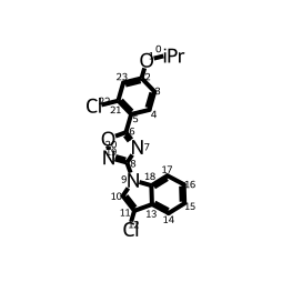 CC(C)Oc1ccc(-c2nc(-n3cc(Cl)c4ccccc43)no2)c(Cl)c1